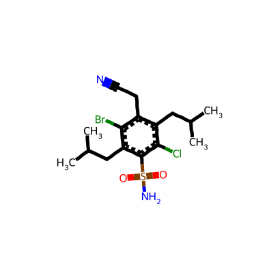 CC(C)Cc1c(Cl)c(S(N)(=O)=O)c(CC(C)C)c(Br)c1CC#N